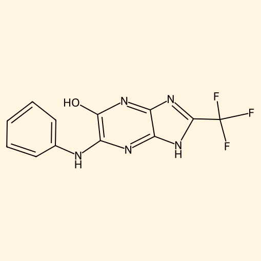 Oc1nc2nc(C(F)(F)F)[nH]c2nc1Nc1ccccc1